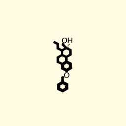 CCCC1C2CCc3cc(OCc4ccccc4)ccc3C2CC[C@]1(C)CO